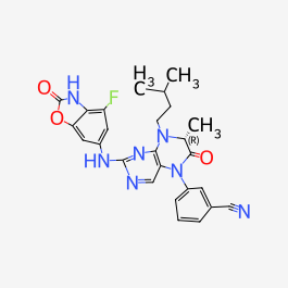 CC(C)CCN1c2nc(Nc3cc(F)c4[nH]c(=O)oc4c3)ncc2N(c2cccc(C#N)c2)C(=O)[C@H]1C